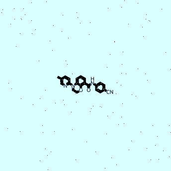 Cc1ccc(N2CCOc3c(C(=O)Nc4ccc(C#N)cc4)cccc32)nc1